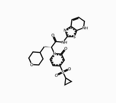 O=C(Nc1nc2c(s1)NCC=C2)[C@@H](CC1CCOCC1)n1ccc(S(=O)(=O)C2CC2)cc1=O